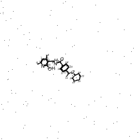 Cc1cc(C)c(CNC(=O)c2ccc(C(C)OC3CCCCC3)cc2)c(O)n1